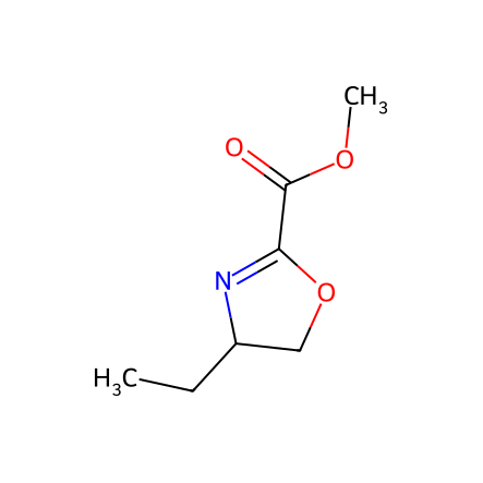 CCC1COC(C(=O)OC)=N1